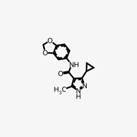 Cc1[nH]nc(C2CC2)c1C(=O)Nc1ccc2c(c1)OCO2